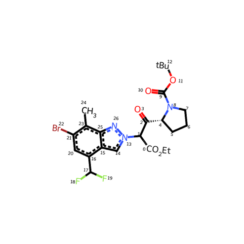 CCOC(=O)C(C(=O)[C@H]1CCCN1C(=O)OC(C)(C)C)n1cc2c(C(F)F)cc(Br)c(C)c2n1